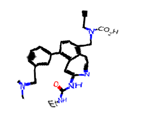 C#CCN(Cc1ccc(-c2cccc(CN(C)C)c2)c2cc(NC(=O)NCC)ncc12)C(=O)O